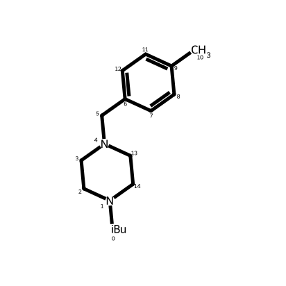 CCC(C)N1CCN(Cc2ccc(C)cc2)CC1